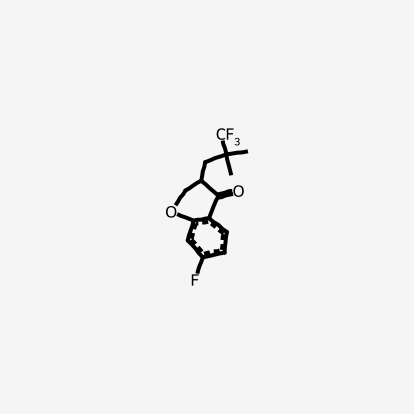 CC(C)(CC1COc2cc(F)ccc2C1=O)C(F)(F)F